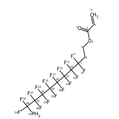 C=CC(=O)OCCC(F)(F)C(F)(F)C(F)(F)C(F)(F)C(F)(F)C(F)(F)C(F)(F)C(F)(F)P